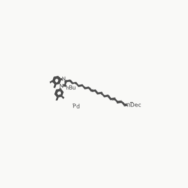 CCCCCCCCCCCCCCCCCCCCCCCCCCC=CC(=Nc1ccc(C)c(C)c1)C(CCCC)=Nc1ccc(C)c(C)c1.[Pd]